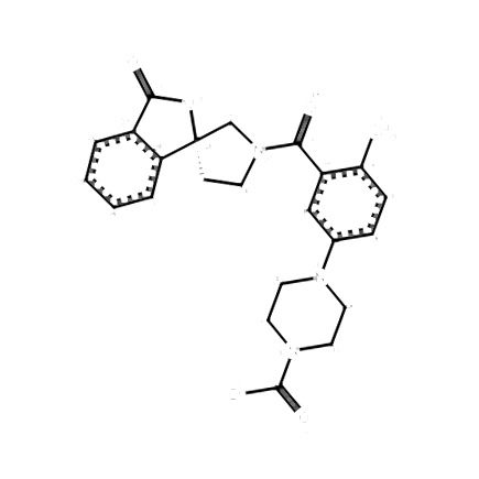 CCC(=O)N1CCN(c2ccc(C)c(C(=O)N3CC[C@@]4(C3)OC(=O)c3ccccc34)c2)CC1